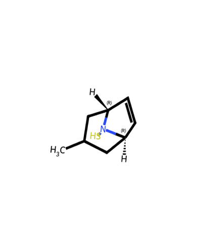 CC1C[C@@H]2C=C[C@@H](C1)N2S